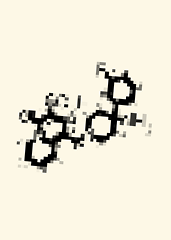 NC1(c2cccc(F)c2)CCN(Cc2cc(C(=O)O)c(=O)n3ccccc23)CC1